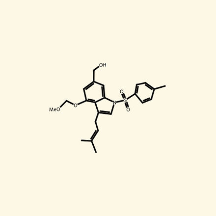 COCOc1cc(CO)cc2c1c(CC=C(C)C)cn2S(=O)(=O)c1ccc(C)cc1